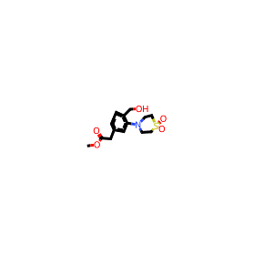 COC(=O)Cc1ccc(CO)c(N2CCS(=O)(=O)CC2)c1